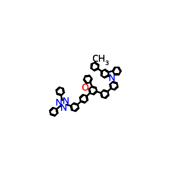 Cc1cccc(-c2ccc3c(c2)c2ccccc2n3-c2cccc(-c3cccc(-c4cc(-c5ccc(-c6cccc(-c7nc(-c8ccccc8)nc(-c8ccccc8)n7)c6)cc5)c5oc6ccccc6c5c4)c3)c2)c1